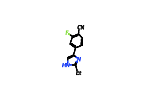 CCc1nc(-c2ccc(C#N)c(F)c2)c[nH]1